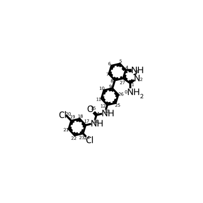 Nc1n[nH]c2cccc(-c3ccc(NC(=O)Nc4cc(Cl)ccc4Cl)cc3)c12